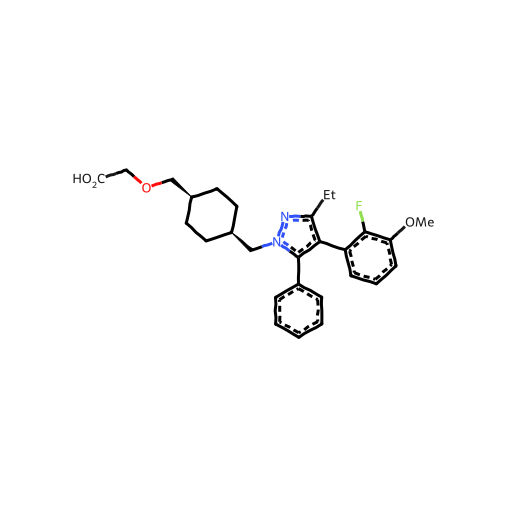 CCc1nn(C[C@H]2CC[C@@H](COCC(=O)O)CC2)c(-c2ccccc2)c1-c1cccc(OC)c1F